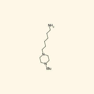 CC(C)(C)N1CCN(CCCCCCN)CC1